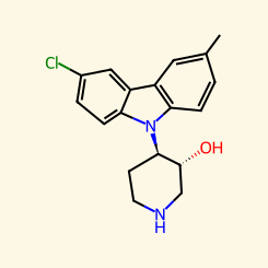 Cc1ccc2c(c1)c1cc(Cl)ccc1n2[C@@H]1CCNC[C@H]1O